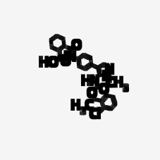 C[C@@H](OC(=O)Nc1c(-c2ccc(NC(=O)[C@@H]3CCCC[C@H]3C(=O)O)cc2)cnn1C)c1ccccc1Cl